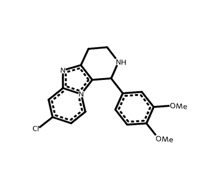 COc1ccc(C2NCCc3nc4cc(Cl)ccn4c32)cc1OC